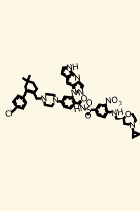 CC1(C)CCC(CN2CCN(c3ccc(C(=O)NS(=O)(=O)c4ccc(NC[C@@H]5CN(C6CC6)CCO5)c([N+](=O)[O-])c4)c(-n4ncc5nc6[nH]ccc6cc54)c3)CC2)=C(c2ccc(Cl)cc2)C1